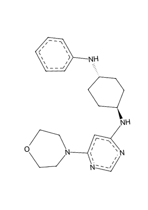 c1ccc(N[C@H]2CC[C@H](Nc3cc(N4CCOCC4)ncn3)CC2)cc1